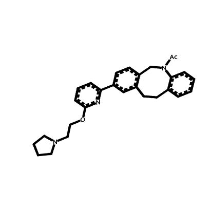 CC(=O)N1Cc2ccc(-c3cccc(OCCN4CCCC4)n3)cc2CCc2ccccc21